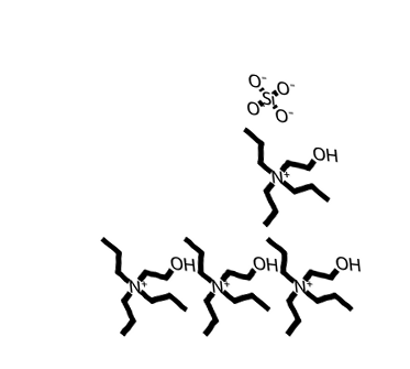 CCC[N+](CCC)(CCC)CCO.CCC[N+](CCC)(CCC)CCO.CCC[N+](CCC)(CCC)CCO.CCC[N+](CCC)(CCC)CCO.[O-][Si]([O-])([O-])[O-]